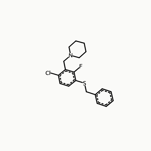 Fc1c(SCc2ccccc2)ccc(Cl)c1CN1CCCCC1